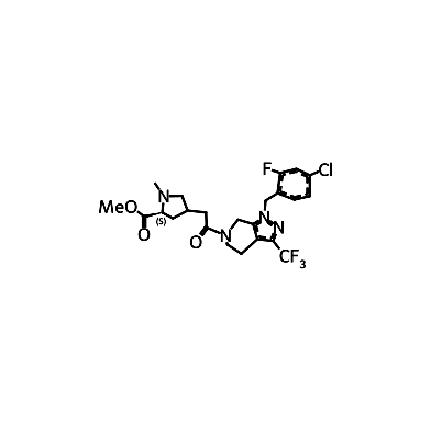 COC(=O)[C@@H]1CC(CC(=O)N2CCc3c(C(F)(F)F)nn(Cc4ccc(Cl)cc4F)c3C2)CN1C